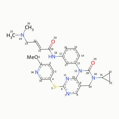 COc1ccc(Sc2ncc3c(n2)N(c2cccc(NC(=O)/C=C/CN(C)C)c2)C(=O)N(C2CC2)C3)cn1